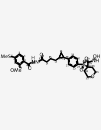 COc1cc(SC)ccc1C(=O)NNC(=O)CCCC1CC1c1ccc(S(=O)(=O)C2(C(=O)NO)CCOCC2)cc1